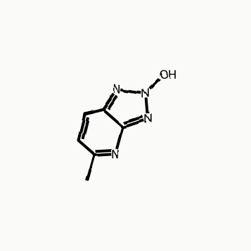 Cc1ccc2nn(O)nc2n1